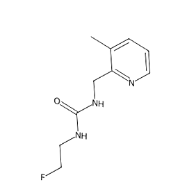 Cc1cccnc1CNC(=O)NCCF